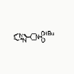 CC(C)(C)OC(=O)N1CCC(c2cn3ccccc3n2)CC1